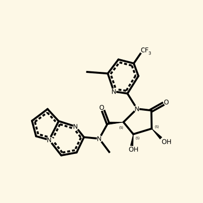 Cc1cc(C(F)(F)F)cc(N2C(=O)[C@@H](O)[C@@H](O)[C@H]2C(=O)N(C)c2ccn3cccc3n2)n1